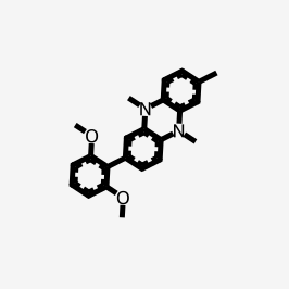 COc1cccc(OC)c1-c1ccc2c(c1)N(C)c1ccc(C)cc1N2C